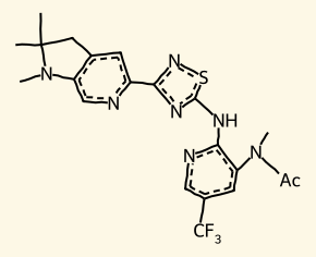 CC(=O)N(C)c1cc(C(F)(F)F)cnc1Nc1nc(-c2cc3c(cn2)N(C)C(C)(C)C3)ns1